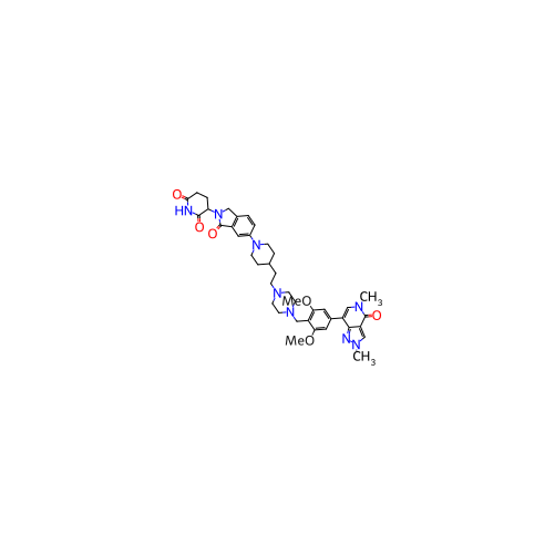 COc1cc(-c2cn(C)c(=O)c3cn(C)nc23)cc(OC)c1CN1CCN(CCC2CCN(c3ccc4c(c3)C(=O)N(C3CCC(=O)NC3=O)C4)CC2)CC1